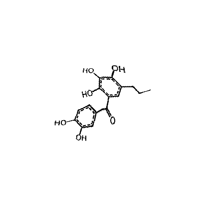 CCCc1cc(C(=O)c2ccc(O)c(O)c2)c(O)c(O)c1O